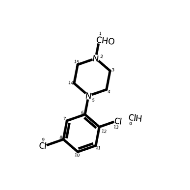 Cl.O=CN1CCN(c2cc(Cl)ccc2Cl)CC1